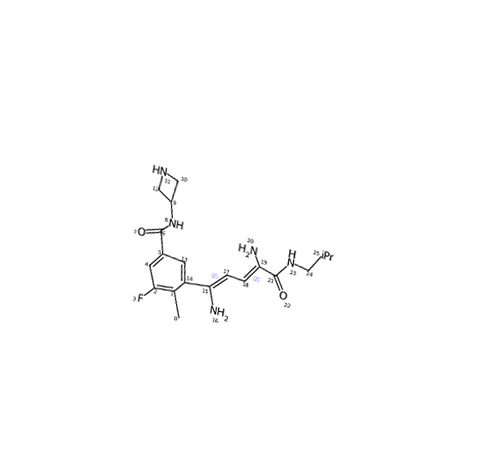 Cc1c(F)cc(C(=O)NC2CNC2)cc1/C(N)=C/C=C(\N)C(=O)NCC(C)C